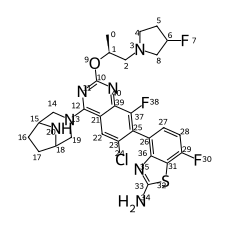 C[C@@H](CN1CCC(F)C1)Oc1nc(N2CC3CCC(C2)N3)c2cc(Cl)c(-c3ccc(F)c4sc(N)nc34)c(F)c2n1